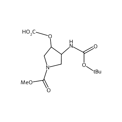 COC(=O)N1CC(NC(=O)OC(C)(C)C)C(OC(=O)O)C1